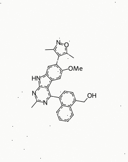 COc1cc2c(cc1-c1c(C)noc1C)[nH]c1nc(C)nc(-c3ccc(CO)c4ccccc34)c12